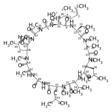 C/C=C/C[C@@H](C)[C@@H](O)[C@H]1C(=O)N[C@@H](CC)C(=O)N(C)[C@H](C)C(=O)N(C)[C@@H](CC(C)C)C(=O)NC(C(C)C)C(=O)N(C)C(=C=C(C)C)C(=O)NC(=O)N[C@H](C)C(=O)N(C)C(CC(C)C)C(=O)N(C)C(=O)N(C)C(=O)N1C